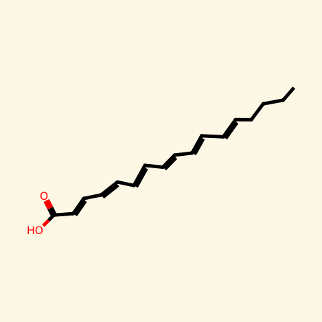 CCCCC=CC=CC=CC=CC=CC=CC(=O)O